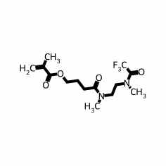 C=C(C)C(=O)OCCCC(=O)N(C)CCN(C)C(=O)C(F)(F)F